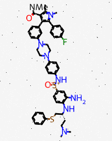 CNC(=O)c1c(-c2cccc(N3CCN(c4ccc(N[S+]([O-])c5ccc(N[C@H](CCN(C)C)CSc6ccccc6)c(N)c5)cc4)CC3)c2)c(-c2ccc(F)cc2)n(C)c1C